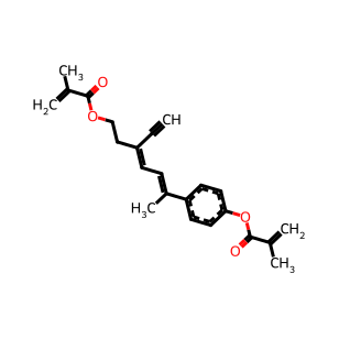 C#C/C(=C\C=C(/C)c1ccc(OC(=O)C(=C)C)cc1)CCOC(=O)C(=C)C